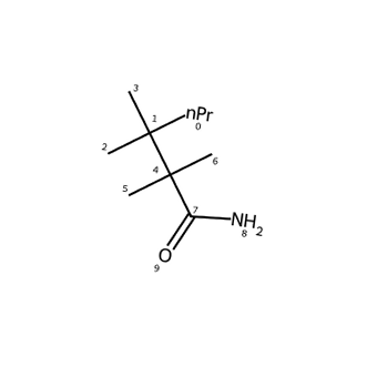 CCCC(C)(C)C(C)(C)C(N)=O